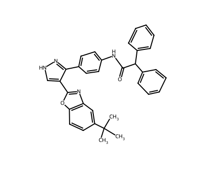 CC(C)(C)c1ccc2oc(-c3c[nH]nc3-c3ccc(NC(=O)C(c4ccccc4)c4ccccc4)cc3)nc2c1